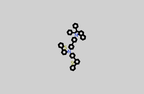 c1ccc(-c2c(-c3ccccc3)n(-c3ccc(-c4ccc(N(c5ccc(-c6cccc7c6sc6ccccc67)cc5)c5cccc6c5sc5ccccc56)cc4)cc3)c3c2ccc2ccccc23)cc1